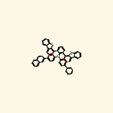 c1ccc(-c2ccc(N(c3ccc(-c4ccc5ccccc5c4)cc3)c3c(-c4cccc5c4sc4ccccc45)cccc3-c3cccc4c3sc3ccccc34)cc2)cc1